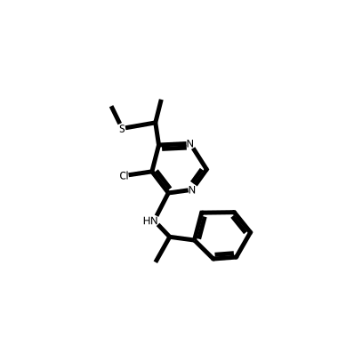 CSC(C)c1ncnc(NC(C)c2ccccc2)c1Cl